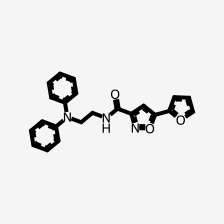 O=C(NCCN(c1ccccc1)c1ccccc1)c1cc(-c2ccco2)on1